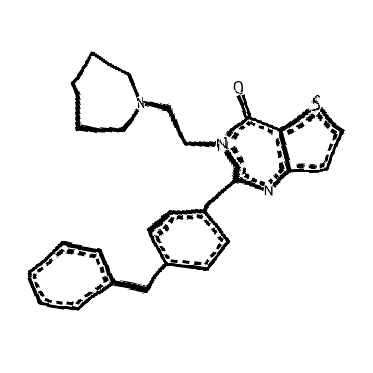 O=c1c2sccc2nc(-c2ccc(Cc3ccccc3)cc2)n1CCN1CCCCC1